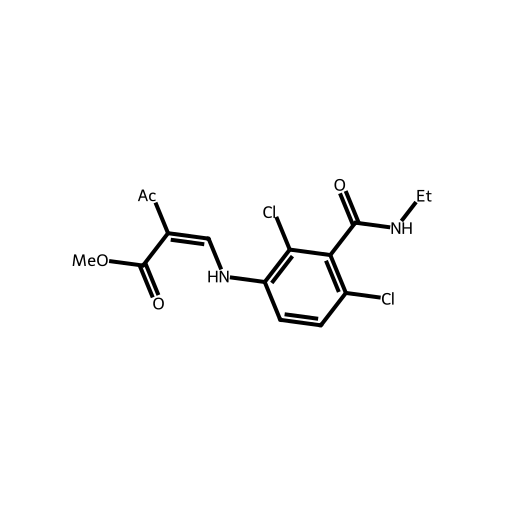 CCNC(=O)c1c(Cl)ccc(NC=C(C(C)=O)C(=O)OC)c1Cl